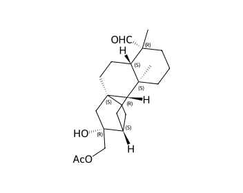 CC(=O)OC[C@@]1(O)C[C@]23CC[C@H]1C[C@H]2[C@]1(C)CCC[C@@](C)(C=O)[C@H]1CC3